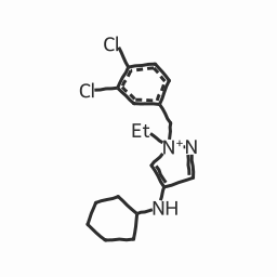 CC[N+]1(Cc2ccc(Cl)c(Cl)c2)C=C(NC2CCCCC2)C=N1